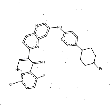 CC(C)N1CCN(c2ccc(Nc3cnc4ccc(/C(=C/N)C(=N)c5cc(Cl)ccc5F)nc4c3)nc2)CC1